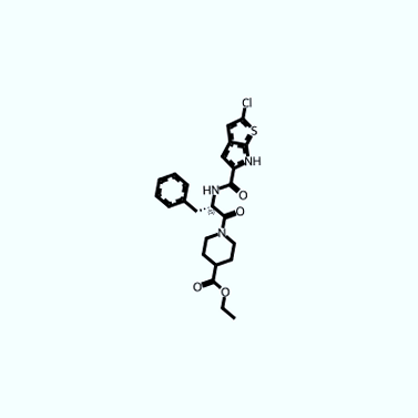 CCOC(=O)C1CCN(C(=O)[C@H](Cc2ccccc2)NC(=O)c2cc3cc(Cl)sc3[nH]2)CC1